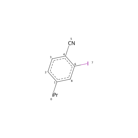 CC(C)c1ccc(C#N)c(I)c1